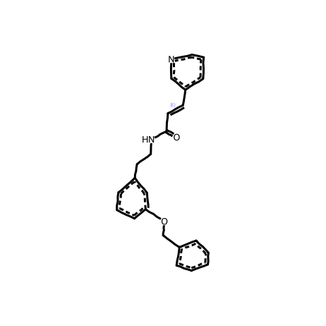 O=C(/C=C/c1cccnc1)NCCc1cccc(OCc2ccccc2)c1